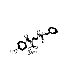 CC(C)(C)OC(=O)N(CCNC(=O)OCc1ccccc1)C(=O)[C@H]1CC[C@@H](O)CC1